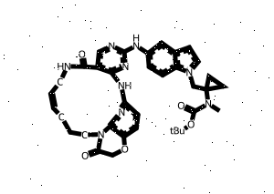 CN(C(=O)OC(C)(C)C)C1(Cn2ccc3cc(Nc4ncc5c(n4)Nc4ccc6c(n4)N(CCC/C=C\CNC5=O)C(=O)CO6)ccc32)CC1